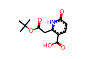 CC(C)(C)OC(=O)Cc1[nH]c(=O)ccc1C(=O)O